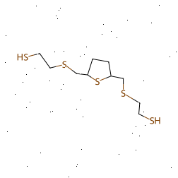 SCCSCC1CCC(CSCCS)S1